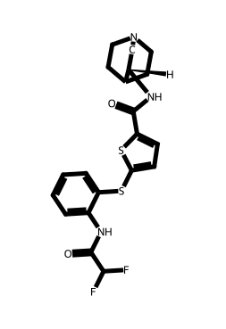 O=C(N[C@H]1CN2CCC1CC2)c1ccc(Sc2ccccc2NC(=O)C(F)F)s1